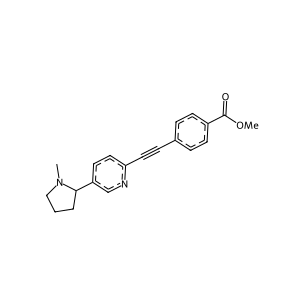 COC(=O)c1ccc(C#Cc2ccc(C3CCCN3C)cn2)cc1